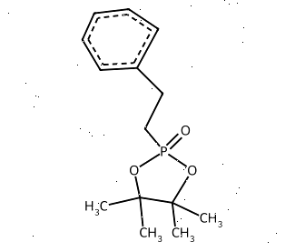 CC1(C)OP(=O)(CCc2ccccc2)OC1(C)C